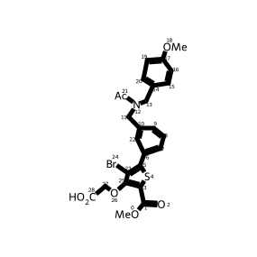 COC(=O)c1sc(-c2cccc(CN(Cc3ccc(OC)cc3)C(C)=O)c2)c(Br)c1OCC(=O)O